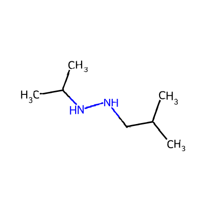 CC(C)CNNC(C)C